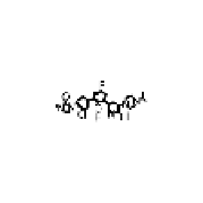 CC(C)N1CCN(c2cc(-c3cc(F)cc(-c4ccc(-n5ccn(C)c5=O)c(Cl)c4)c3O)cnc2Cl)CC1